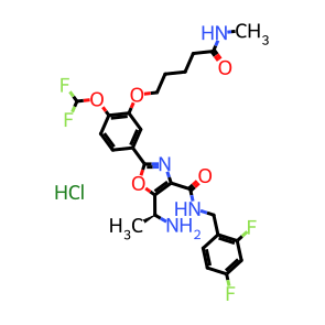 CNC(=O)CCCCOc1cc(-c2nc(C(=O)NCc3ccc(F)cc3F)c([C@H](C)N)o2)ccc1OC(F)F.Cl